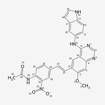 COc1cc2ncnc(Nc3ccc4[nH]ccc4c3)c2cc1C=Cc1ccc(NC(C)=O)c([N+](=O)[O-])c1